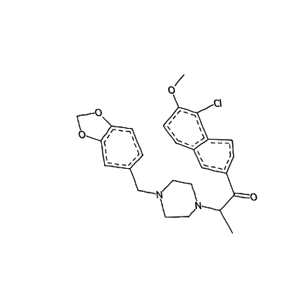 COc1ccc2cc(C(=O)C(C)N3CCN(Cc4ccc5c(c4)OCO5)CC3)ccc2c1Cl